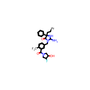 CC(C)CCC1(c2ccccc2)NC(N)N(Cc2ccc(C(F)(F)F)c(C(=O)N3CC(O)C(F)C3)c2)C1=O